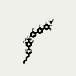 CCCCCc1cnc(-c2cc(F)c(C(F)(F)Oc3ccc(-c4ccc(-c5cc(F)c(OC(F)F)c(F)c5)c(F)c4)c(F)c3)c(F)c2)nc1